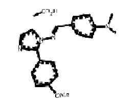 CC(=O)O.COc1ccc(-c2nccn2N=Cc2ccc(N(C)C)cc2)cc1